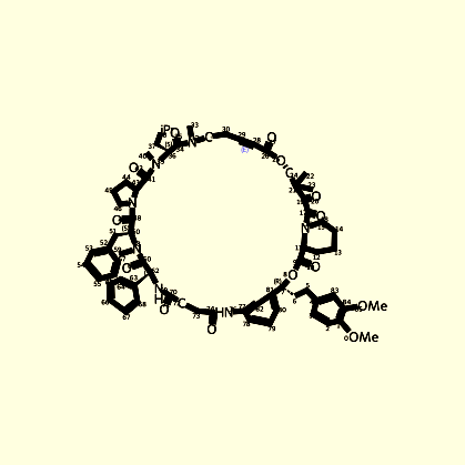 COc1ccc(CC[C@H]2OC(=O)C3CCCCN3C(=O)C(=O)C(C)(C)COC(=O)/C=C/CCN(C)C(=O)[C@H](CC(C)C)N(C)C(=O)C3CCCN3C(=O)[C@H](Cc3ccccc3)N(C)C(=O)[C@H](c3ccccc3)NC(=O)CCC(=O)Nc3cccc2c3)cc1OC